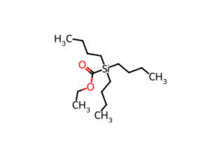 CCCC[Si](CCCC)(CCCC)C(=O)OCC